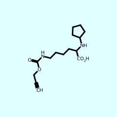 C#CCOC(=O)NCCCCC(NC1CCCC1)C(=O)O